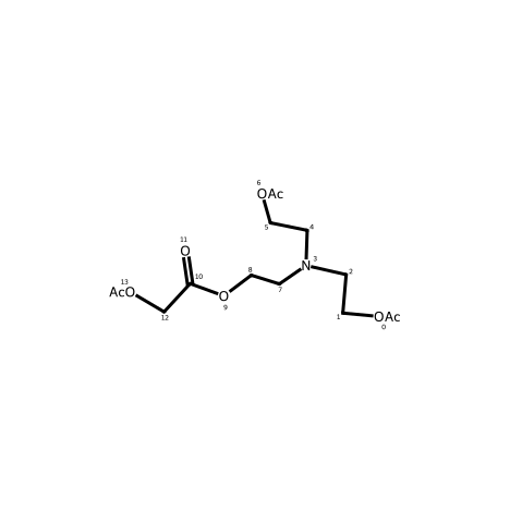 CC(=O)OCCN(CCOC(C)=O)CCOC(=O)COC(C)=O